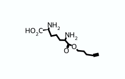 C#CCCCOC(=O)C(N)CCC[C@H](N)C(=O)O